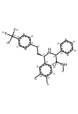 CNC(=O)C(N[C@H](CCc1ccc(C(F)(F)F)cc1)c1ccc(C)c(C)c1)c1ccccc1